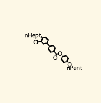 CCCCCCCc1ccc(-c2ccc(C(=O)Oc3ccc(OCCCCC)cc3)cc2)cc1Cl